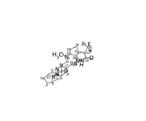 CN(CCC(=O)N1CC2CCC(C1)N2c1ccc(C#N)cn1)C1CCc2c1n[nH]c(=O)c2C(F)(F)F